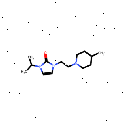 [CH2]C1CCN(CCn2ccn(C(C)C)c2=O)CC1